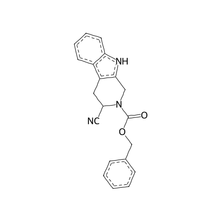 N#CC1Cc2c([nH]c3ccccc23)CN1C(=O)OCc1ccccc1